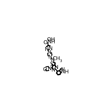 CN(CN1CCN(c2ncc(C(=O)NO)cn2)CC1)c1cc2nc(-c3cccc4[nH]ncc34)nc(N3CCOCC3)c2s1